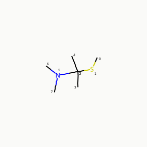 CSC(C)(C)N(C)C